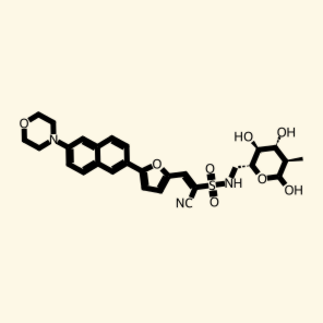 C[C@H]1C(O)O[C@H](CNS(=O)(=O)/C(C#N)=C/c2ccc(-c3ccc4cc(N5CCOCC5)ccc4c3)o2)[C@@H](O)[C@@H]1O